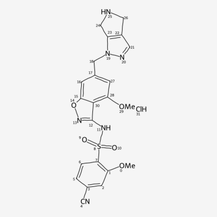 COc1cc(C#N)ccc1S(=O)(=O)Nc1noc2cc(Cn3ncc4c3CNC4)cc(OC)c12.Cl